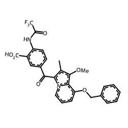 COc1c(C)c(C(=O)c2ccc(NC(=O)C(F)(F)F)c(C(=O)O)c2)n2cccc(OCc3ccccc3)c12